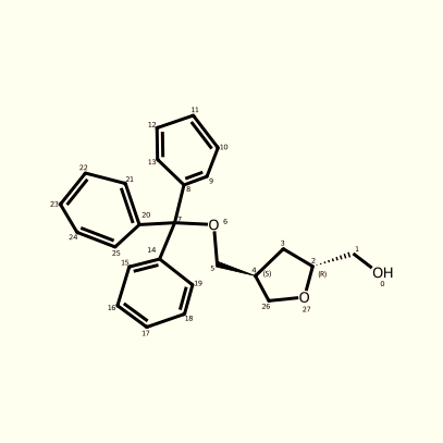 OC[C@H]1C[C@H](COC(c2ccccc2)(c2ccccc2)c2ccccc2)CO1